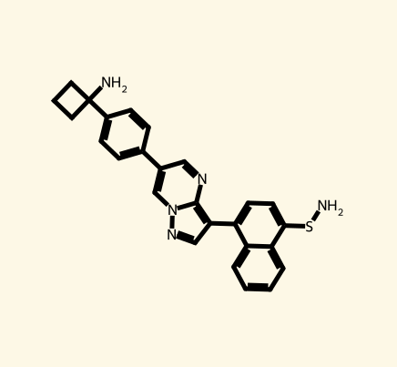 NSc1ccc(-c2cnn3cc(-c4ccc(C5(N)CCC5)cc4)cnc23)c2ccccc12